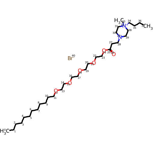 CCCCCCCCCCCCOCCOCCOCCOCCOC(=O)CCN1CC[N+](C)(CCCC)CC1.[Br-]